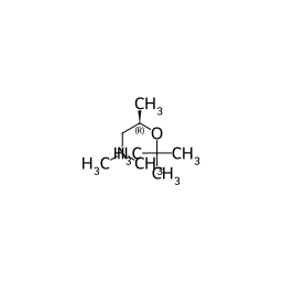 C[C@H](CN(C)C)OC(C)(C)C